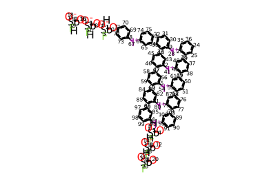 [O]=[SbH]([O-])[F].[O]=[SbH]([O-])[F].[O]=[SbH]([O-])[F].[O]=[SbH]([O-])[F].[O]=[SbH]([O-])[F].[O]=[SbH]([O-])[F].c1ccc([I+]c2ccccc2)cc1.c1ccc([I+]c2ccccc2)cc1.c1ccc([I+]c2ccccc2)cc1.c1ccc([I+]c2ccccc2)cc1.c1ccc([I+]c2ccccc2)cc1.c1ccc([I+]c2ccccc2)cc1